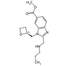 CCCNCc1nc2ccc(C(=O)OC)cc2n1C[C@@H]1CCO1